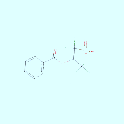 O=C(OC(C(F)(F)F)C(F)(F)S(=O)(=O)O)c1ccccc1.S